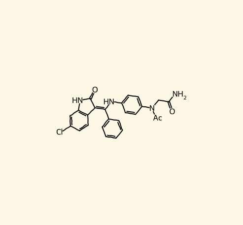 CC(=O)N(CC(N)=O)c1ccc(N/C(=C2\C(=O)Nc3cc(Cl)ccc32)c2ccccc2)cc1